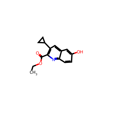 CCOC(=O)c1nc2ccc(O)cc2cc1C1CC1